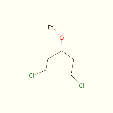 CCOC(CCCl)CCCl